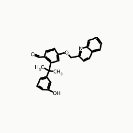 CC(C)(c1cccc(O)c1)c1cc(OCc2ccc3ccccc3n2)ccc1C=O